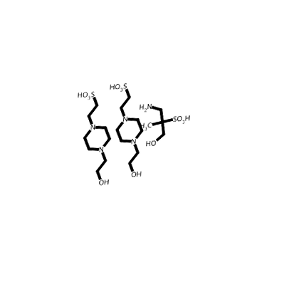 CC(CN)(CO)S(=O)(=O)O.O=S(=O)(O)CCN1CCN(CCO)CC1.O=S(=O)(O)CCN1CCN(CCO)CC1